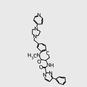 CN1C(=O)C(NC(=O)c2nccc(-c3ccccc3)n2)CCc2ccc(CN3CCN(c4ccncc4)CC3)cc21